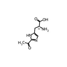 CC(=O)c1ncc(C[C@H](N)C(=O)O)[nH]1